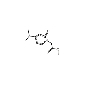 COC(=O)Cn1ccc(C(C)C)cc1=O